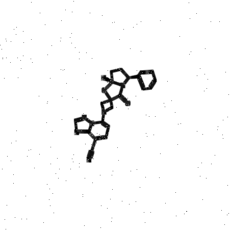 N#Cc1ccc(N2CC3(C2)O[C@@H]2CC[C@@H](c4ccccc4)N2C3=O)n2ncnc12